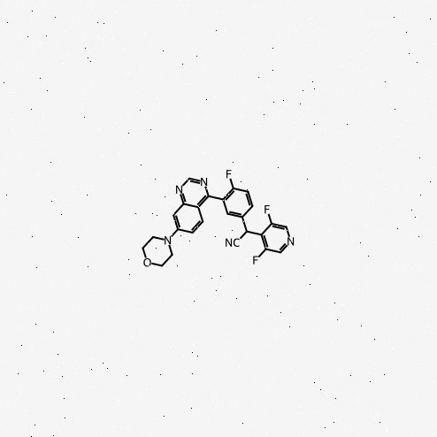 N#CC(c1ccc(F)c(-c2ncnc3cc(N4CCOCC4)ccc23)c1)c1c(F)cncc1F